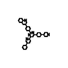 c1ccc(-c2ccc(-c3cc(-c4ccc(-c5ccncc5)cc4)nc(-c4ccc(-c5cnc6ccccc6c5)cc4)n3)nc2)cc1